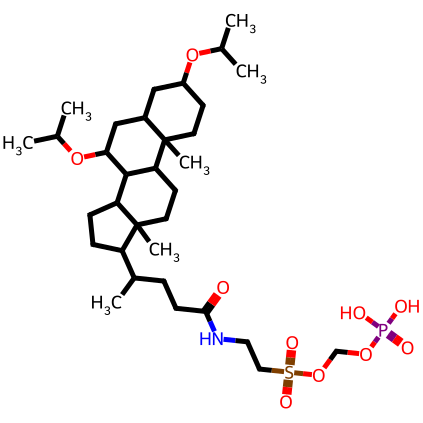 CC(C)OC1CCC2(C)C(C1)CC(OC(C)C)C1C2CCC2(C)C(C(C)CCC(=O)NCCS(=O)(=O)OCOP(=O)(O)O)CCC12